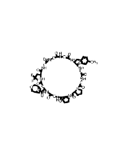 Cc1ccc(CC2NC(=O)CNC(=O)CNC(=O)CNC(=O)C(CC(F)(F)F)NC(=O)CC(C(=O)N3C4CCC3COC4)NC(=O)CNC(=O)C3(CCCC3)NC(=O)C3CCCN3C(=O)CNC(=O)CNC2=O)cc1